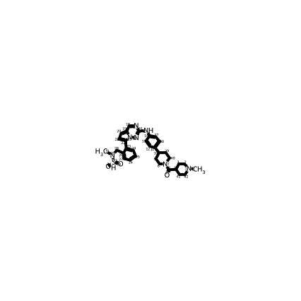 CN1CCC(C(=O)N2CCC(c3ccc(Nc4ncc5ccc(-c6ccccc6CN(C)[SH](=O)=O)n5n4)cc3)CC2)CC1